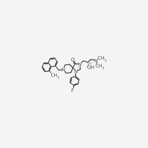 Cc1cccc2cccc(CN3CCC4(CC3)C(=O)N(C[C@@H](O)CN(C)C)CN4c3ccc(F)cc3)c12